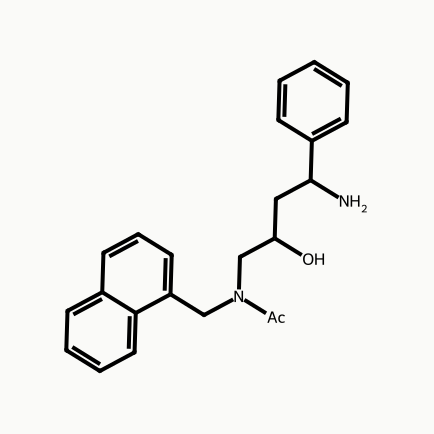 CC(=O)N(Cc1cccc2ccccc12)CC(O)CC(N)c1ccccc1